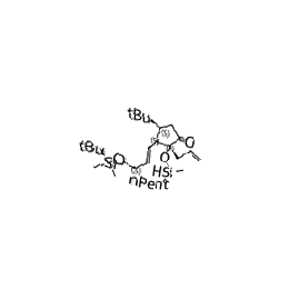 C=CC[C@]1(O[SiH](C)C)C(=O)C[C@H](C(C)(C)C)[C@@H]1C=C[C@H](CCCCC)O[Si](C)(C)C(C)(C)C